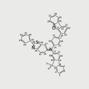 CC1(C)c2ccccc2-c2ccc(N(c3ccc(-c4cccc5c4oc4ccccc45)cc3)c3ccc4nc(-c5ccccc5)sc4c3)cc21